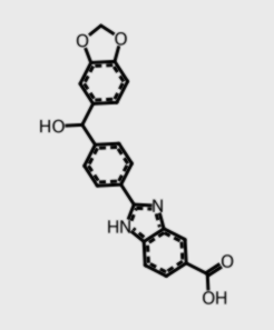 O=C(O)c1ccc2[nH]c(-c3ccc(C(O)c4ccc5c(c4)OCO5)cc3)nc2c1